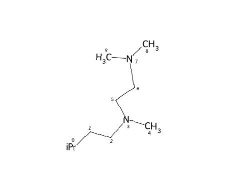 CC(C)CCN(C)CCN(C)C